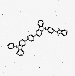 c1ccc(-n2c3ccccc3c3cc(-c4ccc(-c5ccc6c(c5)c5ccccc5n6-c5ccc(-c6nc7ccccc7s6)cc5)cc4)ccc32)cc1